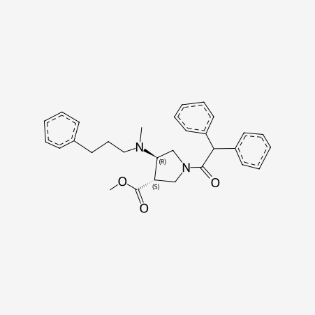 COC(=O)[C@H]1CN(C(=O)C(c2ccccc2)c2ccccc2)C[C@@H]1N(C)CCCc1ccccc1